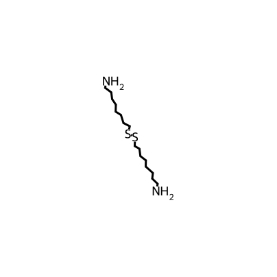 NCCCCCCCCSSCCCCCCCCN